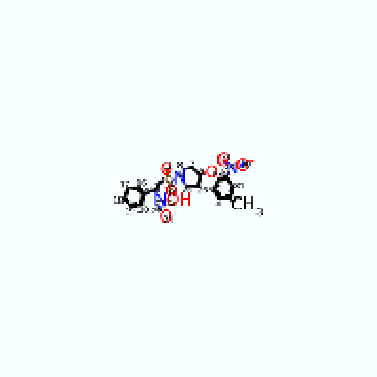 Cc1ccc(OC2CCN(S(=O)(=O)CC(c3ccccc3)N(O)C=O)CC2)c([N+](=O)[O-])c1